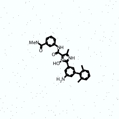 CNC(=O)c1cccc(NC(=O)c2c(C)[nH]c(-c3cc(N)cc(-c4c(C)cccc4C)c3)[n+]2O)c1